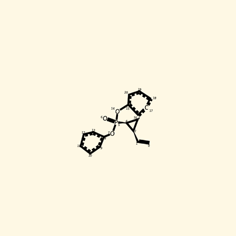 C=C[C@@H]1C[C@@H]1P(=O)(Oc1ccccc1)Oc1ccccc1